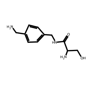 NCc1ccc(CNC(=O)C(N)CO)cc1